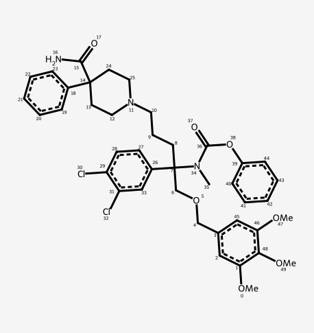 COc1cc(COCC(CCCN2CCC(C(N)=O)(c3ccccc3)CC2)(c2ccc(Cl)c(Cl)c2)N(C)C(=O)Oc2ccccc2)cc(OC)c1OC